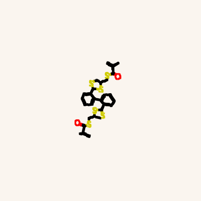 C=C(C)C(=O)SCC1CSC(c2ccccc2-c2ccccc2C2SCC(CSC(=O)C(=C)C)S2)S1